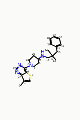 Cc1csc2c(N3CCC(NCC(C)(C)Cc4ccccc4)CC3)ncnc12